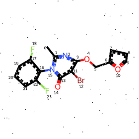 Cc1nc(OCc2ccco2)c(Br)c(=O)n1-c1c(F)cccc1F